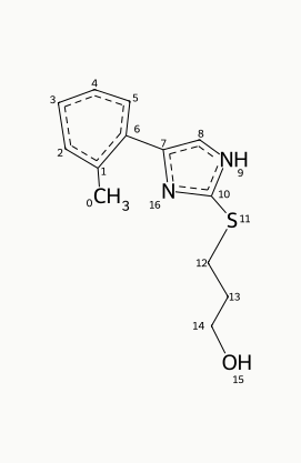 Cc1ccccc1-c1c[nH]c(SCCCO)n1